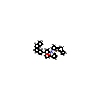 c1ccc(-c2ccccc2N(c2ccc(-c3ccc4ccc5ccc6ccccc6c5c4c3)cc2)c2cccc3c2sc2c4ccccc4ccc32)cc1